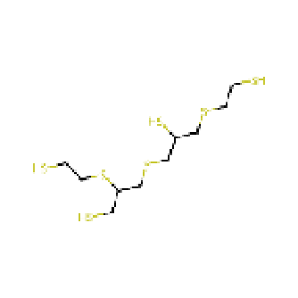 SCCSCC(S)CSCC(CS)SCCS